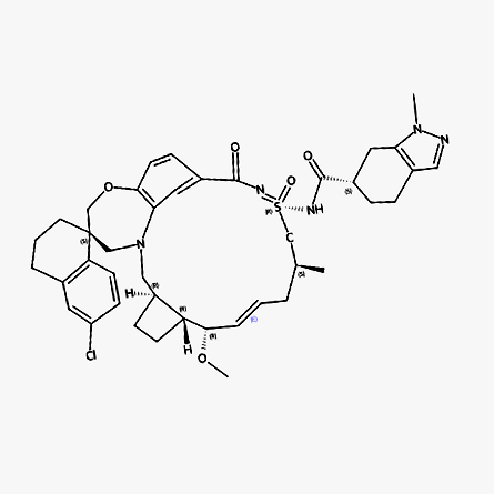 CO[C@H]1/C=C/C[C@H](C)C[S@@](=O)(NC(=O)[C@H]2CCc3cnn(C)c3C2)=NC(=O)c2ccc3c(c2)N(C[C@@H]2CC[C@H]21)C[C@@]1(CCCc2cc(Cl)ccc21)CO3